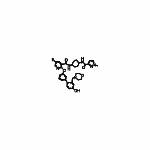 Cn1ccc(C(=O)NC2CCC(NC(=O)c3cc(F)cnc3Oc3cccc(-c4ccc(O)cc4CN4CCOCC4)c3)CC2)n1